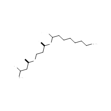 CCCCCCCCCCCCCCCCC(OC(=O)CCOC(=O)CC(O)CCCCC)C(=O)O